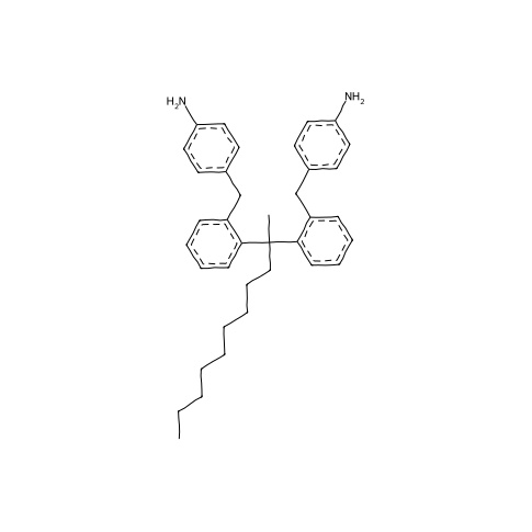 CCCCCCCCCC(C)(c1ccccc1Cc1ccc(N)cc1)c1ccccc1Cc1ccc(N)cc1